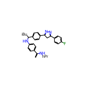 C=C(NCCC)c1ccc(NC(c2ccc(C3=NN=C(c4ccc(F)cc4)C3)cc2)C(C)CC)cc1